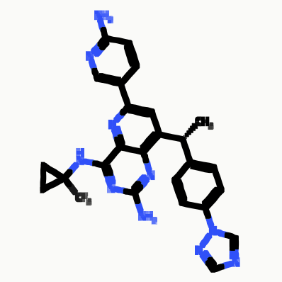 C[C@H](c1ccc(-n2cncn2)cc1)c1cc(-c2ccc(N)nc2)nc2c(NC3(C(F)(F)F)CC3)nc(N)nc12